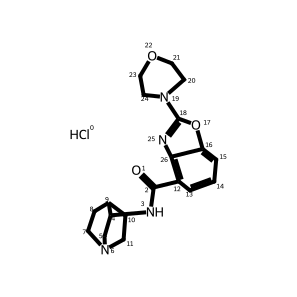 Cl.O=C(NC1CN2CCC1CC2)c1cccc2oc(N3CCOCC3)nc12